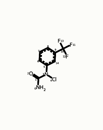 NC(=O)N(Cl)c1cccc(C(F)(F)F)c1